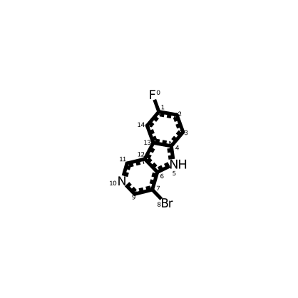 Fc1ccc2[nH]c3c(Br)cncc3c2c1